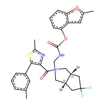 Cc1cccc(-c2sc(C)nc2C(=O)[N+]2(CNC(=O)Oc3cccc4oc(C)cc34)C[C@H]3CC(F)(F)C[C@H]3C2)c1